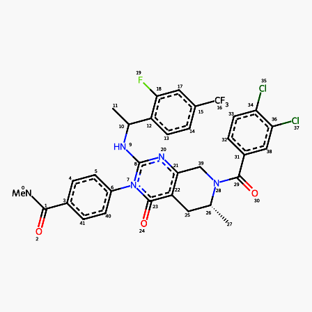 CNC(=O)c1ccc(-n2c(NC(C)c3ccc(C(F)(F)F)cc3F)nc3c(c2=O)C[C@@H](C)N(C(=O)c2ccc(Cl)c(Cl)c2)C3)cc1